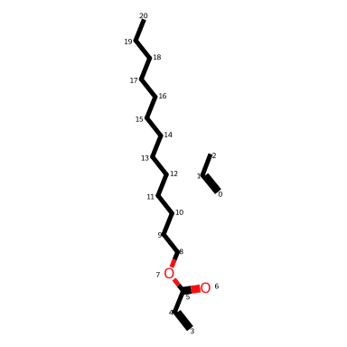 C=CC.C=CC(=O)OCCCCCCCCCCCCC